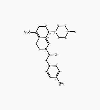 COC1=C2CCN(C(=O)Cc3ccc([N+](=O)[O-])cc3)C=C2C(N2CCN(C)CC2)CC1